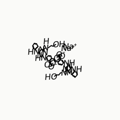 O=S(=O)([O-])c1cc(Nc2nc(NCCCO)nc(Nc3ccccc3)n2)ccc1C=Cc1ccc(Nc2nc(NCCCO)nc(Nc3ccccc3)n2)cc1S(=O)(=O)[O-].[Na+].[Na+]